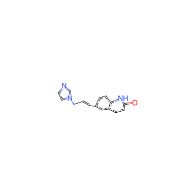 O=c1ccc2cc(/C=C/Cn3ccnc3)ccc2[nH]1